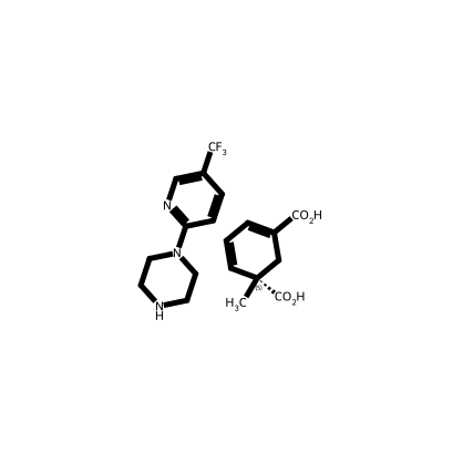 C[C@@]1(C(=O)O)C=CC=C(C(=O)O)C1.FC(F)(F)c1ccc(N2CCNCC2)nc1